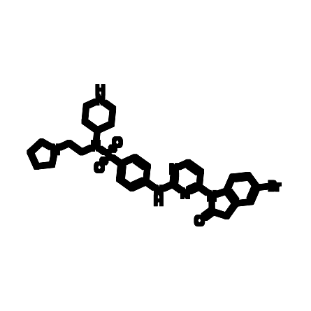 O=C1Cc2cc(Br)ccc2N1c1ccnc(Nc2ccc(S(=O)(=O)N(CCN3CCCC3)C3CCNCC3)cc2)n1